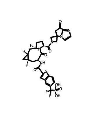 O=C(N[C@H]1C[C@@H]2C[C@@H]2C[C@H]2CC[C@@H](C(=O)N3CC4(CC(=O)c5nccn54)C3)N2C1=O)c1cc2cc(C(F)(F)P(=O)(O)O)ccc2s1